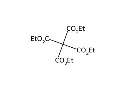 CCOC(=O)C(C(=O)OCC)(C(=O)OCC)C(=O)OCC